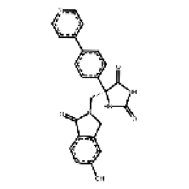 O=C1NC(=O)[C@](CN2Cc3cc(O)ccc3C2=O)(c2ccc(-c3ccncc3)cc2)N1